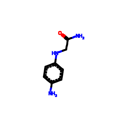 NC(=O)CNc1ccc(N)cc1